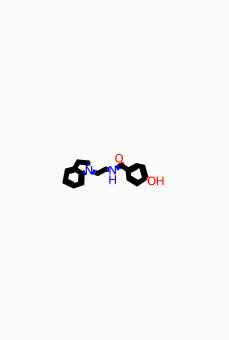 O=C(NCCN1CCc2ccccc21)c1ccc(O)cc1